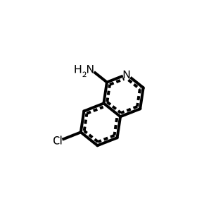 Nc1nccc2ccc(Cl)cc12